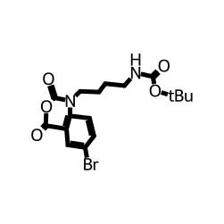 CC(C)(C)OC(=O)NCCCCn1c(=O)oc(=O)c2cc(Br)ccc21